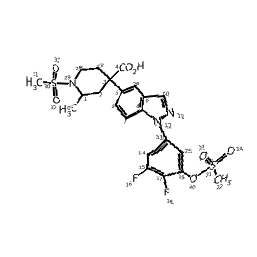 CC1CC(C(=O)O)(c2ccc3c(cnn3-c3cc(F)c(F)c(OS(C)(=O)=O)c3)c2)CCN1S(C)(=O)=O